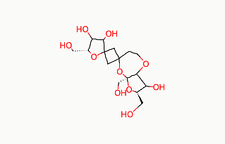 OC[C@H]1OC2(CC3(CCOC4C(O)[C@@H](CO)O[C@@]4(CO)O3)C2)C(O)C1O